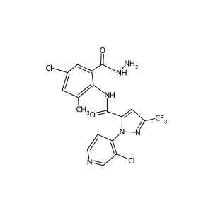 Cc1cc(Cl)cc(C(=O)NN)c1NC(=O)c1cc(C(F)(F)F)nn1-c1ccncc1Cl